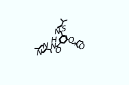 Cc1cnc(C(C)NC(=O)c2cc(OC[C@H]3CCOC3)cc(-c3ncc(C(C)C)s3)c2)cn1